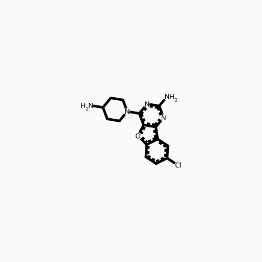 Nc1nc(N2CCC(N)CC2)c2oc3ccc(Cl)cc3c2n1